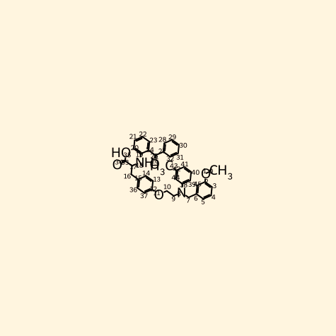 COc1cccc(CN(CCOc2ccc(CC(Nc3ccccc3C(=O)c3ccccc3)C(=O)O)cc2)c2cccc(C)c2)c1